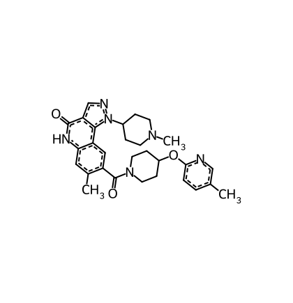 Cc1ccc(OC2CCN(C(=O)c3cc4c(cc3C)[nH]c(=O)c3cnn(C5CCN(C)CC5)c34)CC2)nc1